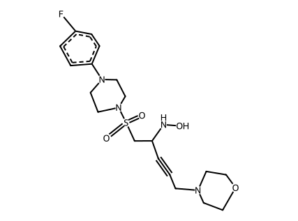 O=S(=O)(CC(C#CCN1CCOCC1)NO)N1CCN(c2ccc(F)cc2)CC1